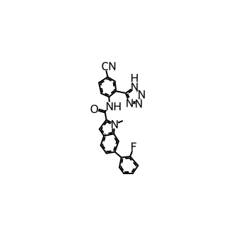 Cn1c(C(=O)Nc2ccc(C#N)cc2-c2nnn[nH]2)cc2ccc(-c3ccccc3F)cc21